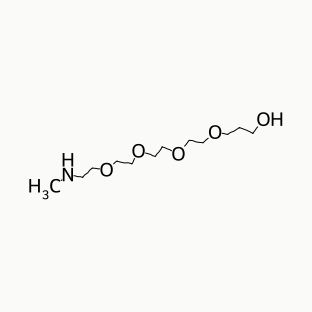 CNCCOCCOCCOCCOCCCO